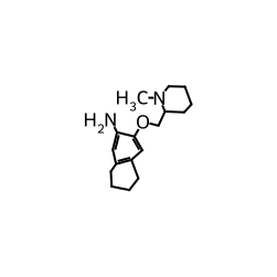 CN1CCCCC1COc1cc2c(cc1N)CCCC2